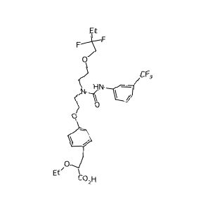 CCOC(Cc1ccc(OCCN(CCOCC(F)(F)CC)C(=O)Nc2cccc(C(F)(F)F)c2)cc1)C(=O)O